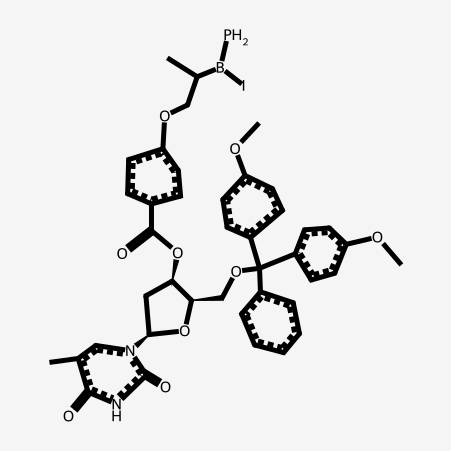 COc1ccc(C(OC[C@H]2O[C@@H](n3cc(C)c(=O)[nH]c3=O)C[C@H]2OC(=O)c2ccc(OCC(C)B(P)I)cc2)(c2ccccc2)c2ccc(OC)cc2)cc1